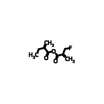 C=C(CC)C(=O)OC(=O)C(=C)CF